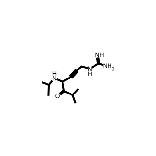 CC(C)NC(C#CCNC(=N)N)C(=O)C(C)C